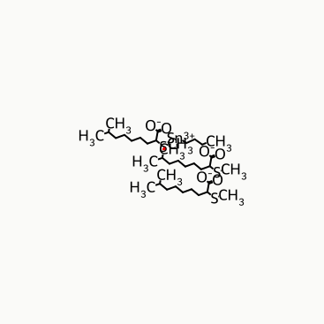 CCC[CH2][Sn+3].CSC(CCCCCC(C)C)C(=O)[O-].CSC(CCCCCC(C)C)C(=O)[O-].CSC(CCCCCC(C)C)C(=O)[O-]